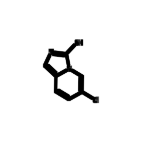 Sc1ncc2ccc(Cl)cn12